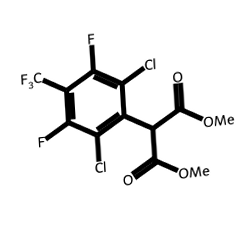 COC(=O)C(C(=O)OC)c1c(Cl)c(F)c(C(F)(F)F)c(F)c1Cl